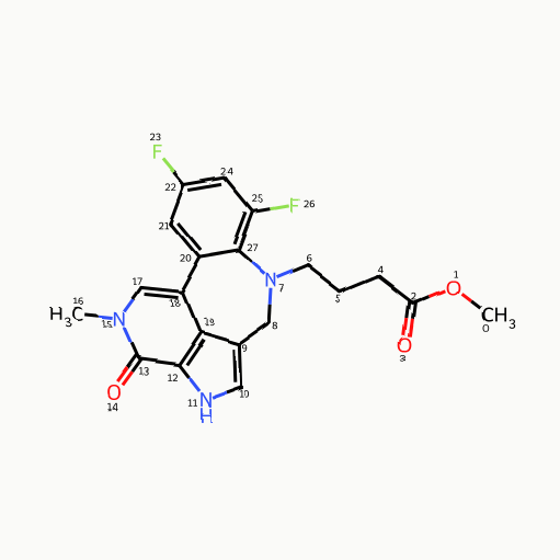 COC(=O)CCCN1Cc2c[nH]c3c(=O)n(C)cc(c23)-c2cc(F)cc(F)c21